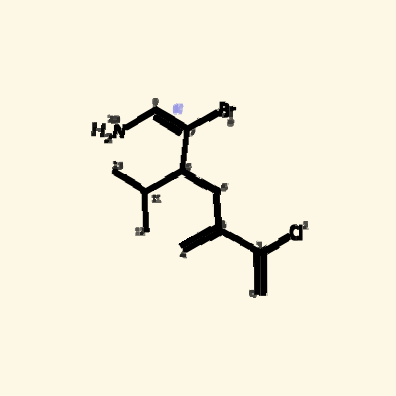 C=C(Cl)C(=C)CC(/C(Br)=C\N)C(C)C